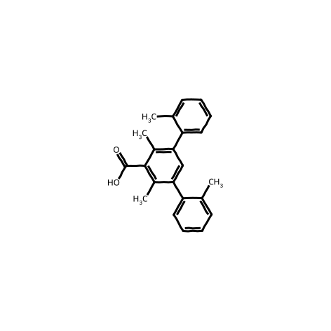 Cc1ccccc1-c1cc(-c2ccccc2C)c(C)c(C(=O)O)c1C